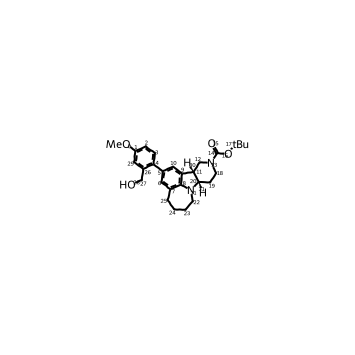 COc1ccc(-c2cc3c4c(c2)[C@@H]2CN(C(=O)OC(C)(C)C)CC[C@@H]2N4CCCC3)c(CO)c1